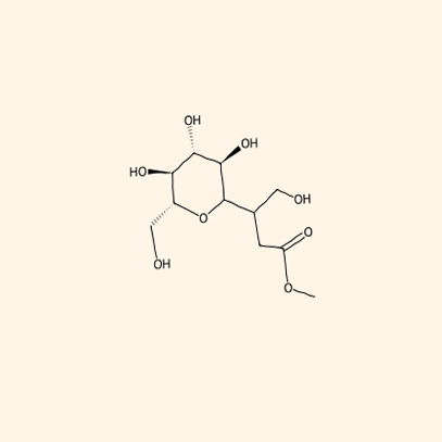 COC(=O)CC(CO)C1O[C@H](CO)[C@@H](O)[C@H](O)[C@H]1O